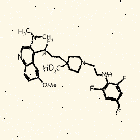 COc1ccc2ncc(N(C)C)c([C@@H](F)CCC3(C(=O)O)CCN(CCNc4c(F)cc(F)cc4F)CC3)c2c1